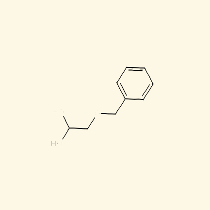 OC(O)COCc1ccccc1